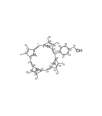 CC1=C(C)C2=NC1=CC1=NC(=C(c3ccc(CO)cc3)C3=NC(=CC4=NC(=C2)C(C)=C4C)C(C)=C3C)C(C)=C1C